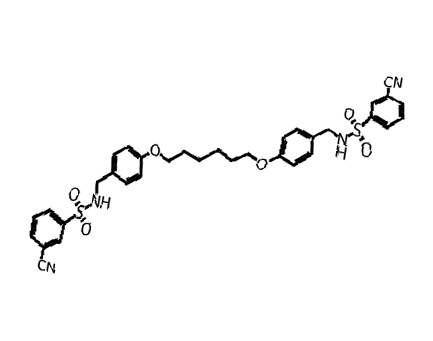 N#Cc1cccc(S(=O)(=O)NCc2ccc(OCCCCCCOc3ccc(CNS(=O)(=O)c4cccc(C#N)c4)cc3)cc2)c1